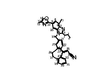 CCCc1nc2c(C)cc(-c3nc(C)co3)cc2n1Cc1ccc2c(c1)CCc1ccccc1C2=CC#N